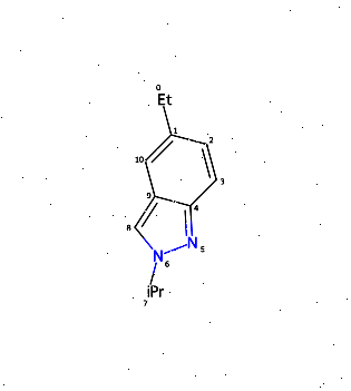 CCc1ccc2nn(C(C)C)cc2c1